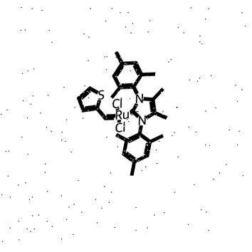 CC1=C(C)N(c2c(C)cc(C)cc2C)[CH]([Ru-3]([Cl])([Cl])=[CH]c2cccs2)N1c1c(C)cc(C)cc1C